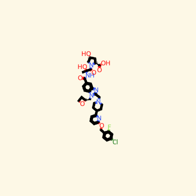 CC(O)(NC(=O)c1ccc2c(c1)nc(CN1CCC(c3cccc(OCc4ccc(Cl)cc4F)n3)CC1)n2C[C@@H]1CCO1)C(=O)N1C[C@H](O)C[C@H]1C(=O)O